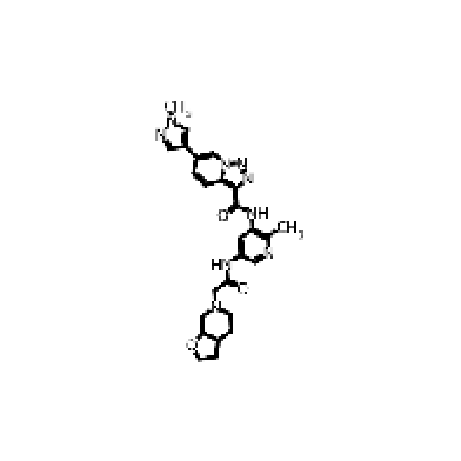 Cc1ncc(NC(=O)CN2CCC3CCOC3C2)cc1NC(=O)c1nnn2cc(-c3cnn(C)c3)ccc12